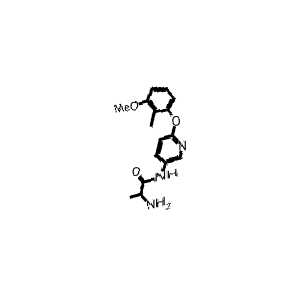 COc1cccc(Oc2ccc(NC(=O)C(C)N)cn2)c1C